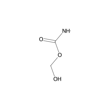 [NH]C(=O)OCO